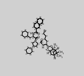 CC1(C)[C@@H]2C[C@H]3OB([C@H](CCCCBr)NC(=O)[C@@H]4C[C@@H](N5CCCCC5)CN4C(=O)[C@@H](CC4CCCCC4)NC(=O)c4ccc5ccccc5c4)O[C@@]3(C)[C@H]1C2